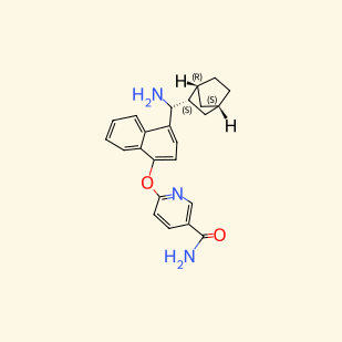 NC(=O)c1ccc(Oc2ccc(C(N)[C@H]3C[C@H]4CC[C@@H]3C4)c3ccccc23)nc1